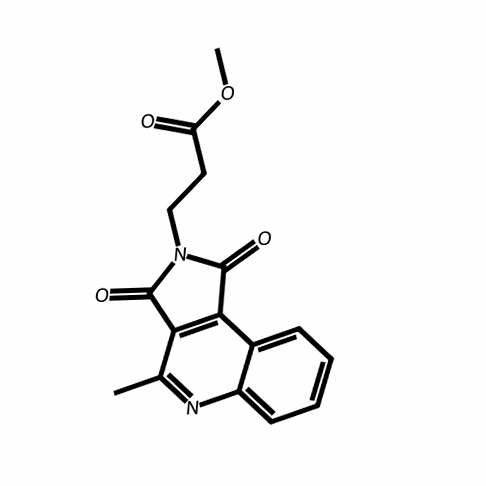 COC(=O)CCN1C(=O)c2c(C)nc3ccccc3c2C1=O